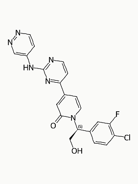 O=c1cc(-c2ccnc(Nc3ccnnc3)n2)ccn1[C@H](CO)c1ccc(Cl)c(F)c1